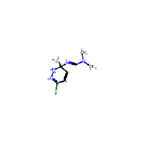 CN(C)C=NC1(C)C=CC(Cl)=NN1